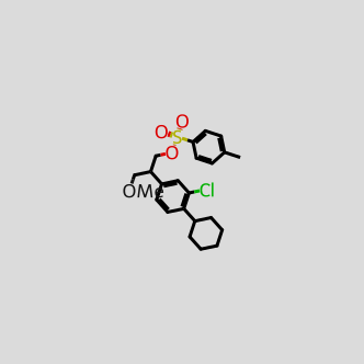 COCC(COS(=O)(=O)c1ccc(C)cc1)c1ccc(C2CCCCC2)c(Cl)c1